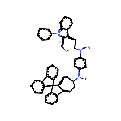 C/C=c1\c(=C/CN(C)c2ccc(N(C)C3CC=C4C(=CC3)C3(c5ccccc54)c4ccccc4-c4ccccc43)cc2)c2ccccc2n1-c1ccccc1